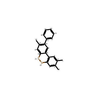 Cc1cc2c(cc1C)-c1cc(-c3ccccc3)c(C)cc1SS2